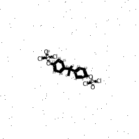 CC(C)(c1ccc(OP(=O)(Cl)Cl)cc1)c1ccc(OP(=O)(Cl)Cl)cc1